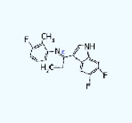 C=C/C(=N\c1cccc(F)c1C)c1c[nH]c2cc(F)c(F)cc12